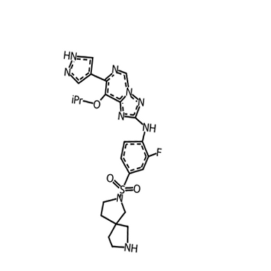 CC(C)Oc1c(-c2cn[nH]c2)ncn2nc(Nc3ccc(S(=O)(=O)N4CCC5(CCNC5)C4)cc3F)nc12